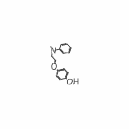 CN(CCOc1ccc(O)cc1)c1ccccc1